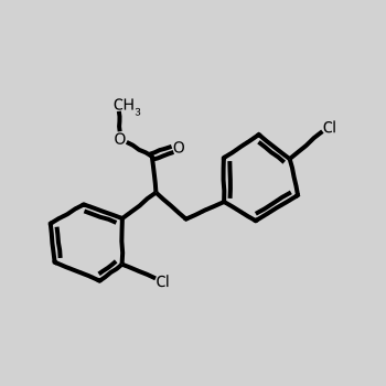 COC(=O)C(Cc1ccc(Cl)cc1)c1ccccc1Cl